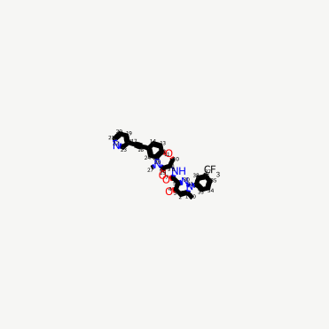 Cc1cc(=O)c(C(=O)N[C@H]2COc3ccc(C#Cc4cccnc4)cc3N(C)C2=O)nn1-c1cccc(C(F)(F)F)c1